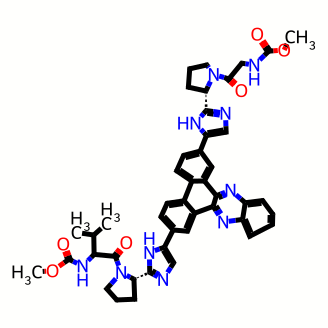 COC(=O)NCC(=O)N1CCC[C@H]1c1ncc(-c2ccc3c4ccc(-c5cnc([C@@H]6CCCN6C(=O)C(NC(=O)OC)C(C)C)[nH]5)cc4c4nc5ccccc5nc4c3c2)[nH]1